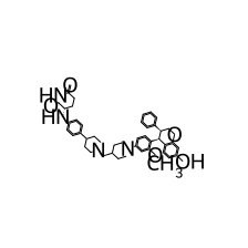 COc1cc(N2CCC(CN3CCC(c4ccc(N[C@H]5CCC(=O)NC5=O)cc4)CC3)CC2)ccc1[C@@H]1c2ccc(O)cc2OC[C@@H]1c1ccccc1